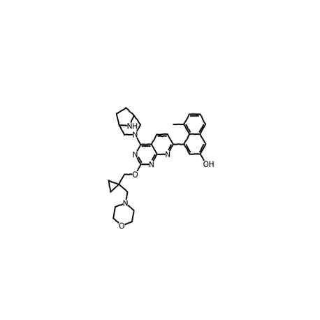 Cc1cccc2cc(O)cc(-c3ccc4c(N5CC6CCC(C5)N6)nc(OCC5(CN6CCOCC6)CC5)nc4n3)c12